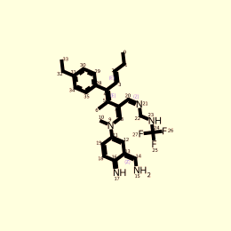 CC/C=C/C(=C(/C)C(=CN(C)C1=C/C(=C/N)C(=N)C=C1)/C=N\CNC(F)(F)F)c1ccc(CC)cc1